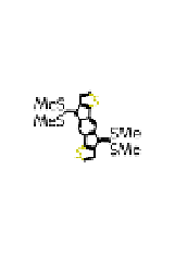 CSC(SC)=C1c2cc3c(cc2-c2sccc21)C(=C(SC)SC)c1ccsc1-3